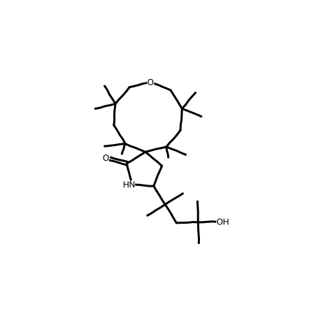 CC(C)(O)CC(C)(C)C1CC2(C(=O)N1)C(C)(C)CC(C)(C)COCC(C)(C)CC2(C)C